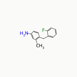 Cc1cc(N)ccc1Cc1ccccc1F